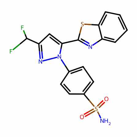 NS(=O)(=O)c1ccc(-n2nc(C(F)F)cc2-c2nc3ccccc3s2)cc1